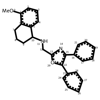 COc1cccc2c1CCCC2NCc1nc(-c2ccccc2)c(-c2ccccc2)o1